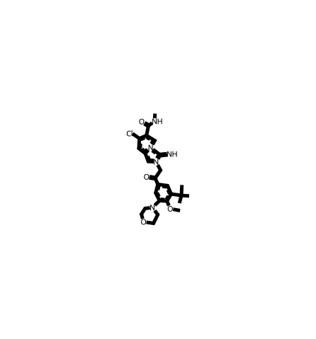 CNC(=O)c1cn2c(=N)n(CC(=O)c3cc(N4CCOCC4)c(OC)c(C(C)(C)C)c3)cc2cc1Cl